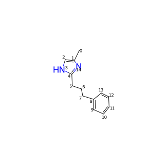 Cc1c[nH]c(CCCc2ccccc2)n1